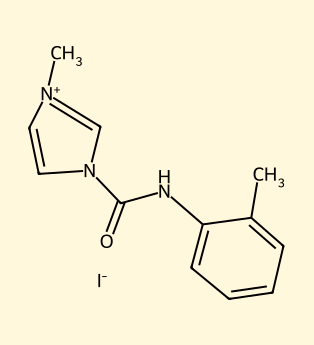 Cc1ccccc1NC(=O)n1cc[n+](C)c1.[I-]